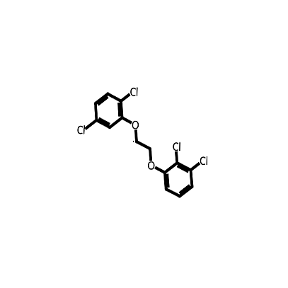 Clc1ccc(Cl)c(O[CH]COc2cccc(Cl)c2Cl)c1